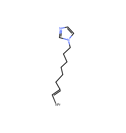 CCCC=CCCCCCCn1ccnc1